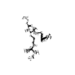 CCSCC(=O)N[C@@H](CCCNC(=N)N[N+](=O)[O-])C(=O)NCCC(C)C